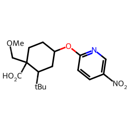 COCC1(C(=O)O)CCC(Oc2ccc([N+](=O)[O-])cn2)CC1C(C)(C)C